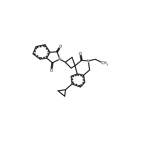 CCN1Cc2ccc(C3CC3)cc2C2(CC(N3C(=O)c4ccccc4C3=O)C2)C1=O